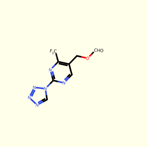 O=COCc1cnc(-n2cnnn2)nc1C(F)(F)F